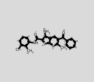 Cc1nc2sc(C(=O)Nc3cccc(Cl)c3C)c(N)c2cc1C(=O)c1ccccc1